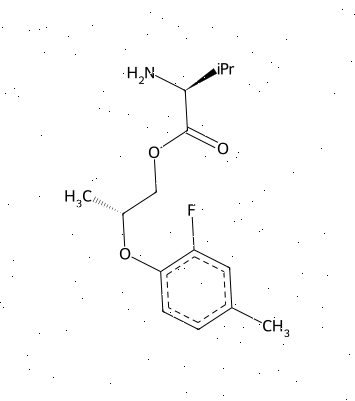 Cc1ccc(O[C@H](C)COC(=O)[C@@H](N)C(C)C)c(F)c1